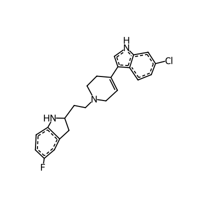 Fc1ccc2c(c1)CC(CCN1CC=C(c3c[nH]c4cc(Cl)ccc34)CC1)N2